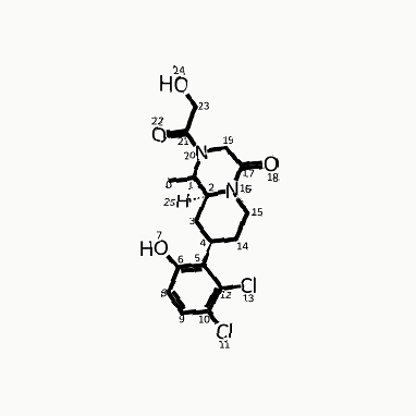 CC1[C@@H]2C[C@H](c3c(O)ccc(Cl)c3Cl)CCN2C(=O)CN1C(=O)CO